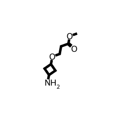 COC(=O)CCOC1CC(N)C1